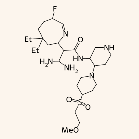 CCC1(CC)CCC(F)/C=N\C(C(C(=O)NC2CNCCC2N2CCC(S(=O)(=O)CCOC)CC2)C(N)N)C1